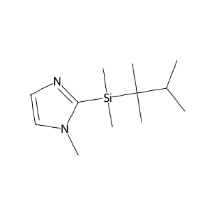 CC(C)C(C)(C)[Si](C)(C)c1nccn1C